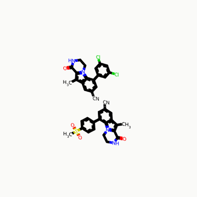 Cc1c2n(c3c(-c4cc(Cl)cc(Cl)c4)cc(C#N)cc13)CCNC2=O.Cc1c2n(c3c(-c4ccc(S(C)(=O)=O)cc4)cc(C#N)cc13)CCNC2=O